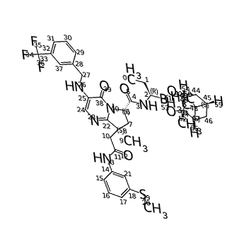 CC[C@H](NC(=O)[C@@H]1C[C@@](C)(CC(=O)Nc2cccc(SC)c2)c2ncc(NCc3cccc(C(F)(F)F)c3)c(=O)n21)B1O[C@@H]2C[C@@H]3C[C@@H](C3(C)C)[C@]2(C)O1